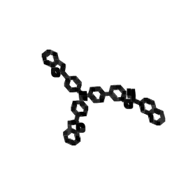 c1ccc2cc(-c3nc4ccc(-c5ccc(N(c6ccc(-c7cc8ccccc8o7)cc6)c6ccc(-c7cc8ccccc8o7)cc6)cc5)cc4o3)ccc2c1